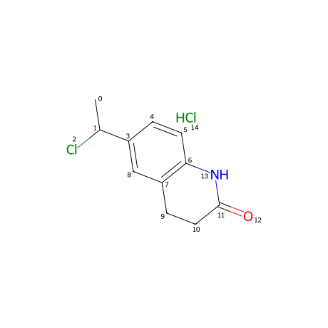 CC(Cl)c1ccc2c(c1)CCC(=O)N2.Cl